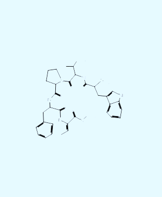 C/C=C(\NC(=O)C(Cc1ccccc1)NC(=O)C1CCCN1C(=O)C(NC(=O)C(N)Cc1c[nH]c2ccccc12)C(C)C)C(=O)NC